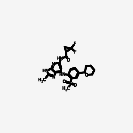 Cc1nc2c(Nc3ccc(C4CCCCO4)cc3S(C)(=O)=O)cc(NC(=O)C3CC3(F)F)nc2[nH]1